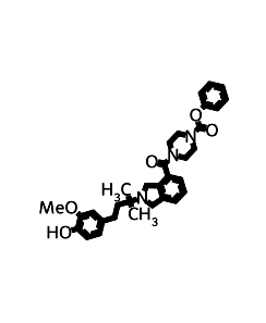 COc1cc(CCC(C)(C)N2Cc3cccc(C(=O)N4CCN(C(=O)Oc5ccccc5)CC4)c3C2)ccc1O